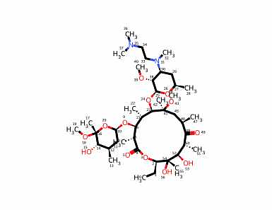 CC[C@H]1OC(=O)[C@H](C)[C@@H](O[C@H]2C[C@@H](C)[C@H](O)[C@](C)(OC)O2)[C@H](C)[C@@H](O[C@@H]2O[C@H](C)C[C@H](N(C)CCN(C)C)[C@H]2OC)[C@@](C)(OC)C[C@@H](C)C(=O)[C@H](C)[C@@H](O)[C@]1(C)O